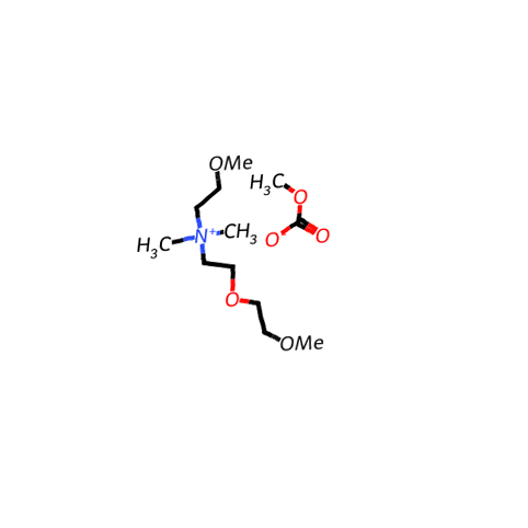 COC(=O)[O-].COCCOCC[N+](C)(C)CCOC